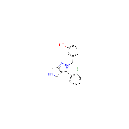 Oc1cccc(Cn2nc3c(c2-c2ccccc2F)CNC3)c1